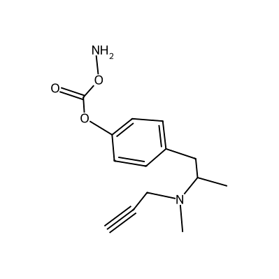 C#CCN(C)C(C)Cc1ccc(OC(=O)ON)cc1